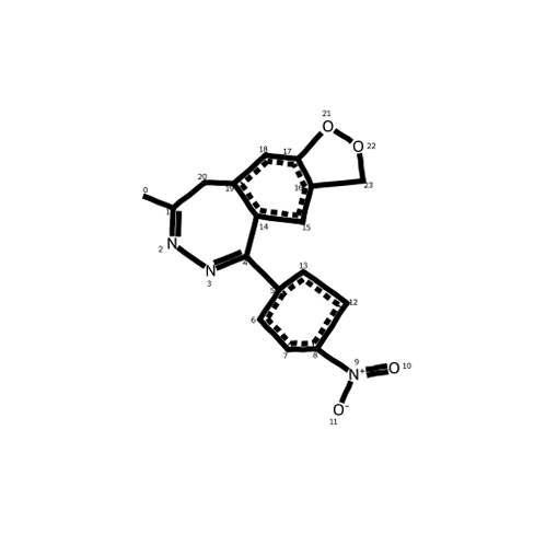 CC1=NN=C(c2ccc([N+](=O)[O-])cc2)c2cc3c(cc2C1)OOC3